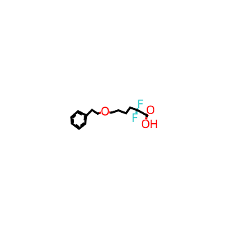 O=C(O)C(F)(F)CCCCOCCc1ccccc1